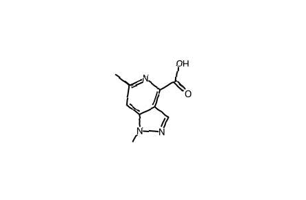 Cc1cc2c(cnn2C)c(C(=O)O)n1